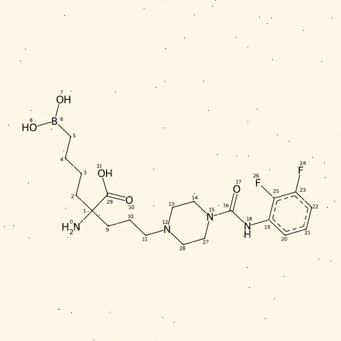 NC(CCCCB(O)O)(CCCN1CCN(C(=O)Nc2cccc(F)c2F)CC1)C(=O)O